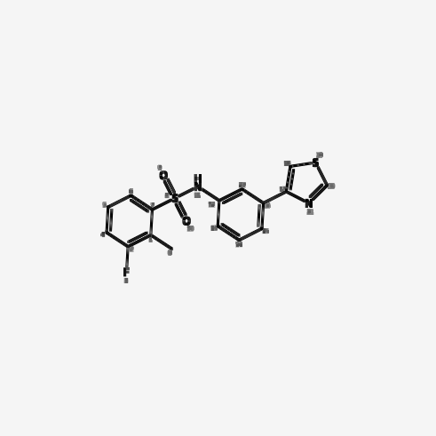 Cc1c(F)cccc1S(=O)(=O)Nc1cccc(-c2cscn2)c1